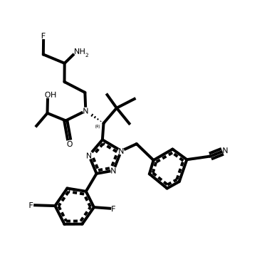 CC(O)C(=O)N(CCC(N)CF)[C@@H](c1nc(-c2cc(F)ccc2F)nn1Cc1cccc(C#N)c1)C(C)(C)C